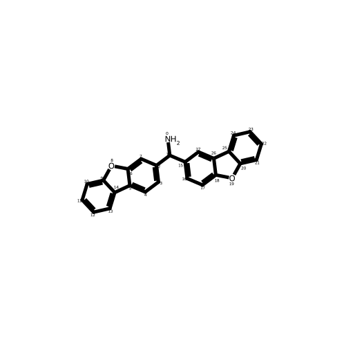 NC(c1ccc2c(c1)oc1ccccc12)c1ccc2oc3ccccc3c2c1